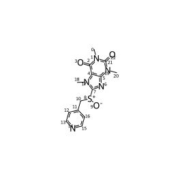 Cn1c(=O)c2c(nc([S+]([O-])Cc3ccncc3)n2C)n(C)c1=O